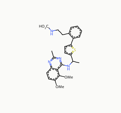 COc1ccc2nc(C)nc(NC(C)c3ccc(-c4ccccc4CCNC(=O)O)s3)c2c1OC